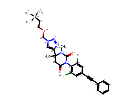 CN1C(=O)N(c2c(F)cc(C#Cc3ccccc3)cc2F)C(=O)CC1(C)c1cn(COCC[Si](C)(C)C)nn1